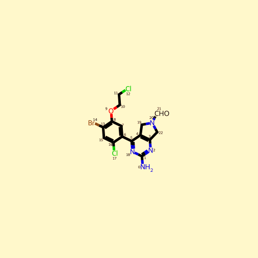 Nc1nc2c(c(-c3cc(OCCCl)c(Br)cc3Cl)n1)CN(C=O)C2